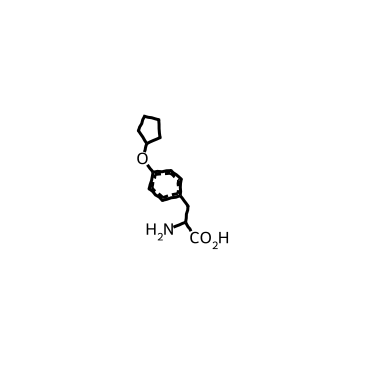 NC(Cc1ccc(OC2CCCC2)cc1)C(=O)O